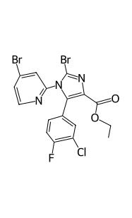 CCOC(=O)c1nc(Br)n(-c2cc(Br)ccn2)c1-c1ccc(F)c(Cl)c1